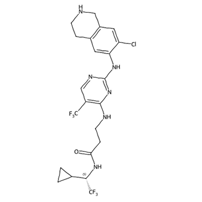 O=C(CCNc1nc(Nc2cc3c(cc2Cl)CNCC3)ncc1C(F)(F)F)N[C@@H](C1CC1)C(F)(F)F